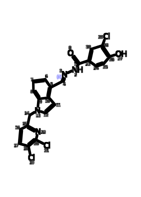 O=C(N/N=C/c1cccc2c1ccn2Cc1ccc(Cl)c(Cl)n1)c1ccc(O)c(Cl)c1